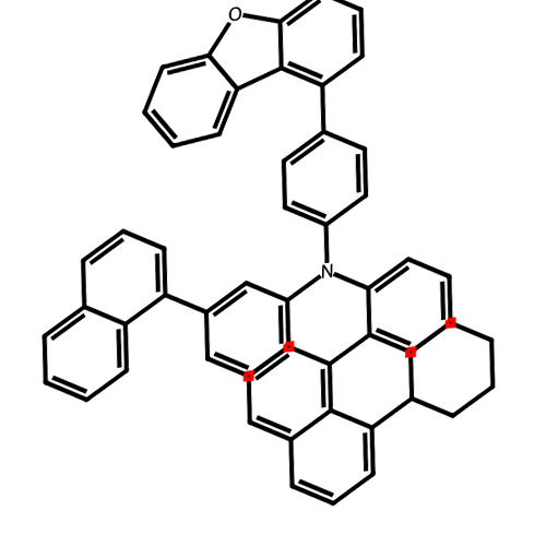 c1cc(-c2cccc3ccccc23)cc(N(c2ccc(-c3cccc4oc5ccccc5c34)cc2)c2ccccc2-c2cccc3cccc(C4CCCCC4)c23)c1